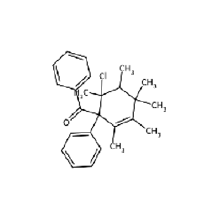 CC1=C(C)C(C(=O)c2ccccc2)(c2ccccc2)C(C)(Cl)C(C)C1(C)C